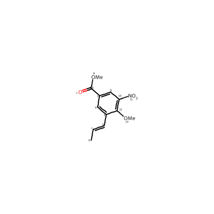 CC=Cc1cc(C(=O)OC)cc([N+](=O)[O-])c1OC